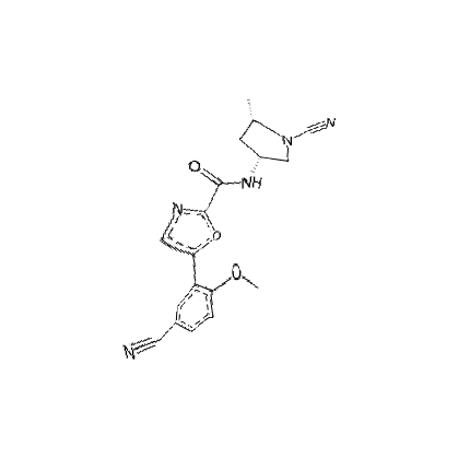 COc1ccc(C#N)cc1-c1cnc(C(=O)N[C@@H]2C[C@H](C)N(C#N)C2)o1